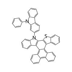 c1ccc(-n2c3ccccc3c3ccc(-n4c5ccccc5c5c6c7ccccc7c7ccccc7c6c6c7ccccc7sc6c54)cc32)cc1